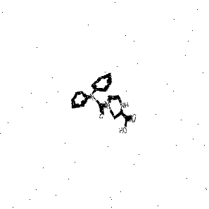 O=C(O)C1CN(C(=O)N(c2ccccc2)c2ccccc2)CCN1